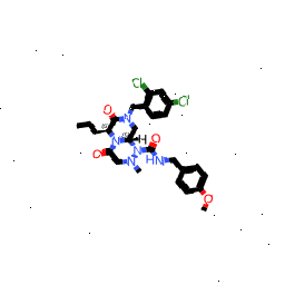 CCC[C@H]1C(=O)N(Cc2ccc(Cl)cc2Cl)C[C@H]2N1C(=O)CN(C)N2C(=O)NCc1ccc(OC)cc1